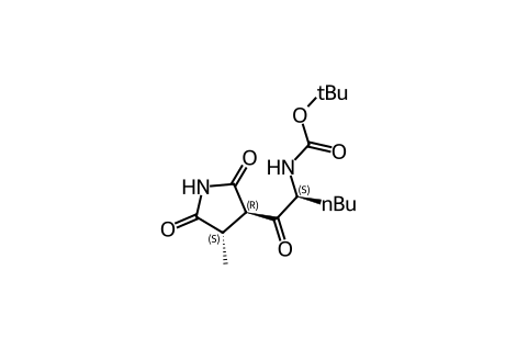 CCCC[C@H](NC(=O)OC(C)(C)C)C(=O)[C@@H]1C(=O)NC(=O)[C@H]1C